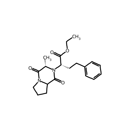 CCOC(=O)[C@H](CCc1ccccc1)N1C(=O)C2CCCN2C(=O)[C@@H]1C